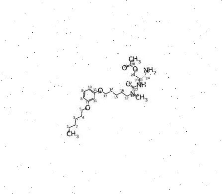 CCCCCCOc1cccc(OCCCCCN(C)C(=O)N[C@@H](CN)COC(C)=O)c1